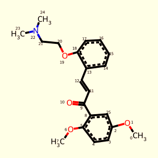 COc1ccc(OC)c(C(=O)C=Cc2ccccc2OCCN(C)C)c1